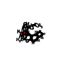 CCOC(=O)C1=C(C)NC2(C)Oc3ccc4ccccc4c3C1C2C(=O)OCC